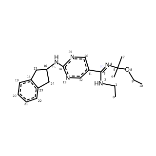 CCN/C(=N\C(C)(C)OCC)c1cnc(NC2Cc3ccccc3C2)nc1